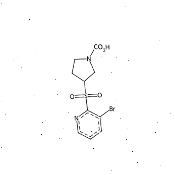 O=C(O)N1CCC(S(=O)(=O)c2ncccc2Br)C1